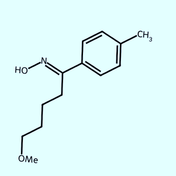 COCCCC/C(=N\O)c1ccc(C)cc1